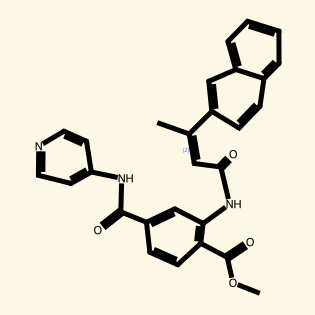 COC(=O)c1ccc(C(=O)Nc2ccncc2)cc1NC(=O)/C=C(/C)c1ccc2ccccc2c1